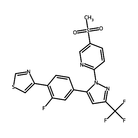 CS(=O)(=O)c1ccc(-n2nc(C(F)(F)F)cc2-c2ccc(-c3cscn3)c(F)c2)nc1